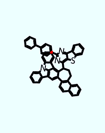 c1ccc(-c2ccc(-c3nc(C4CCc5c(ccc6ccccc56)-c5cc6c7ccccc7n7c8ccccc8c(c54)c67)c4sc5ccccc5c4n3)cc2)cc1